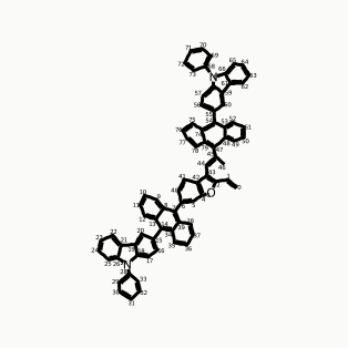 C=Cc1oc2cc(-c3c4ccccc4c(-c4ccc5c(c4)c4ccccc4n5-c4ccccc4)c4ccccc34)ccc2c1/C=C(\C)c1c2ccccc2c(-c2ccc3c(c2)c2ccccc2n3-c2ccccc2)c2ccccc12